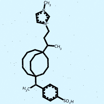 CC(CC[n+]1ccn(C)c1)C12CCCCCC(C(C)c3ccc(S(=O)(=O)O)cc3)(CCC1)CCC2